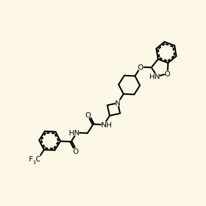 O=C(CNC(=O)c1cccc(C(F)(F)F)c1)NC1CN(C2CCC(OC3NOc4ccccc43)CC2)C1